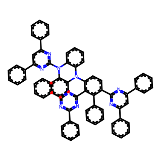 c1ccc(-c2cc(-c3ccccc3)nc(-c3ccc(N4c5ccccc5N(c5nc(-c6ccccc6)cc(-c6ccccc6)n5)c5ccccc54)c(-c4nc(-c5ccccc5)nc(-c5ccccc5)n4)c3-c3ccccc3)n2)cc1